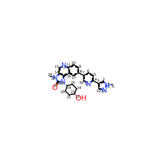 Cn1cc(-c2ccc(-c3ccc4ncc5c(c4c3)n([C@H]3CC[C@@H](O)CC3)c(=O)n5C)cn2)cn1